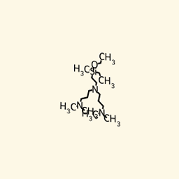 CCO[Si](C)(CC)CCN(CCCN(C)C)CCCN(C)C